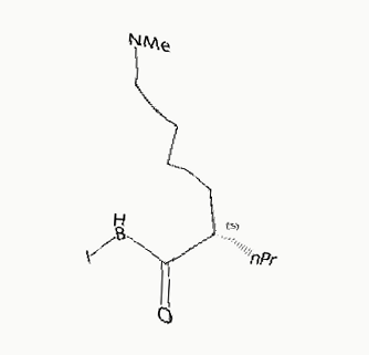 CCC[C@@H](CCCCNC)C(=O)BI